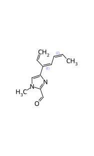 C=C/C(=C\C=C/C)c1cn(C)c(C=O)n1